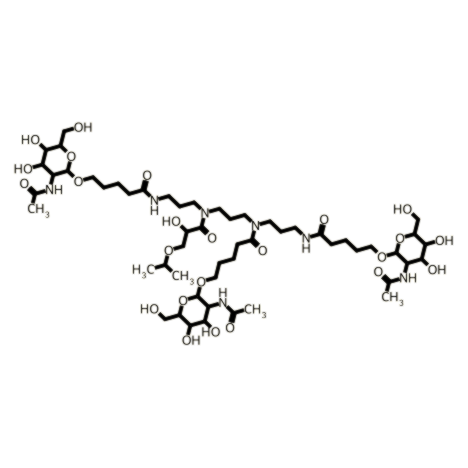 CC(=O)NC1C(OCCCCC(=O)NCCCN(CCCN(CCCNC(=O)CCCCOC2OC(CO)C(O)C(O)C2NC(C)=O)C(=O)C(O)COC(C)C)C(=O)CCCCOC2OC(CO)C(O)C(O)C2NC(C)=O)OC(CO)C(O)C1O